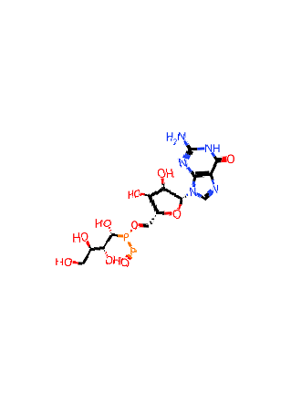 Nc1nc2c(ncn2[C@@H]2O[C@H](CO[P@](P=O)[C@@H](O)[C@H](O)[C@H](O)CO)[C@@H](O)[C@H]2O)c(=O)[nH]1